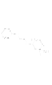 NC1(Cl)C=C(OCCOc2cccnc2)NC=N1